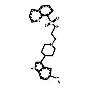 COc1ccc2[nH]cc(C3CCN(CCNS(=O)(=O)c4cccc5cccnc45)CC3)c2c1